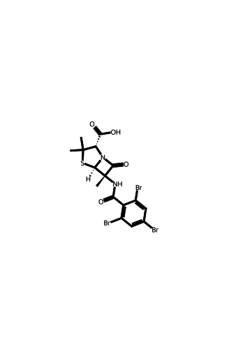 CC1(C)S[C@H]2N(C(=O)[C@]2(C)NC(=O)c2c(Br)cc(Br)cc2Br)[C@H]1C(=O)O